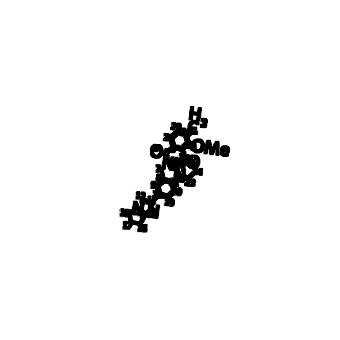 COc1cc(C(=O)NCc2cc(-c3cn4c(n3)CCC4)ccc2N2CCOCC2)ccc1C